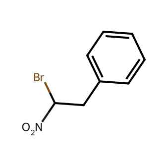 O=[N+]([O-])C(Br)Cc1ccccc1